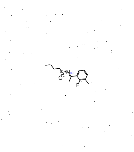 CCCC[S@@+]([O-])/N=C(\C)c1cccc(C)c1F